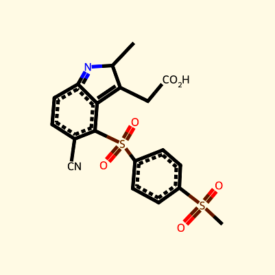 CC1N=c2ccc(C#N)c(S(=O)(=O)c3ccc(S(C)(=O)=O)cc3)c2=C1CC(=O)O